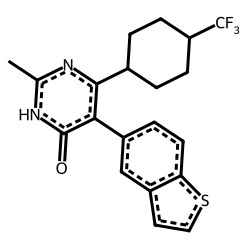 Cc1nc(C2CCC(C(F)(F)F)CC2)c(-c2ccc3sccc3c2)c(=O)[nH]1